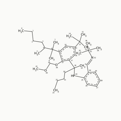 CCCCC(C)C(C)(C)c1cc(C(C)(C)C)cc(C(C)(CCCC)Pc2ccccc2/C=N/C(C)(C)C)c1OCOC